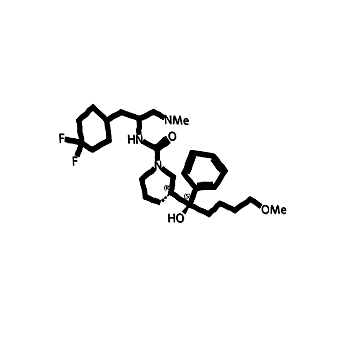 CNCC(CC1CCC(F)(F)CC1)NC(=O)N1CCC[C@@H]([C@@](O)(CCCCOC)c2ccccc2)C1